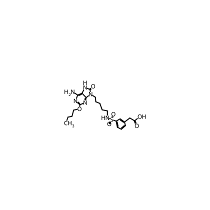 CCCCOc1nc(N)c2[nH]c(=O)n(CCCCCNS(=O)(=O)c3cccc(CC(=O)O)c3)c2n1